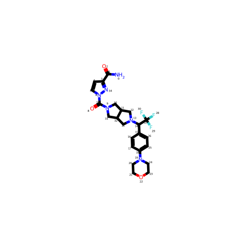 NC(=O)c1ccn(C(=O)N2CC3CN(C(c4ccc(N5CCOCC5)cc4)C(F)(F)F)CC3C2)n1